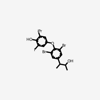 CC(C)c1cc(Oc2c(Br)cc(C(C)C(C)O)cc2Br)cc(I)c1O